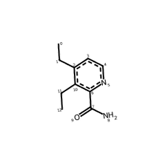 CCc1ccnc(C(N)=O)c1CC